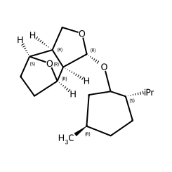 CC(C)[C@@H]1CC[C@@H](C)CC1O[C@H]1OC[C@H]2[C@@H]1[C@H]1CC[C@@H]2O1